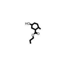 CCCOC(=O)C1CC(O)CCC1C